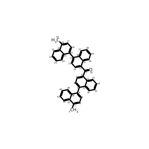 Cc1ccc(-c2ccc(C(=O)c3ccc(-c4ccc(C)c5ccccc45)c4ccccc34)c3ccccc23)c2ccccc12